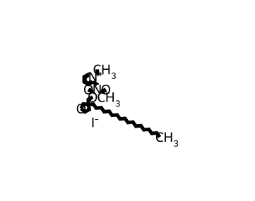 CCCCCCCCCCCCCCCCCCC1(COC(=O)N(Cc2cccc[n+]2CC)C(C)=O)CCOC1.[I-]